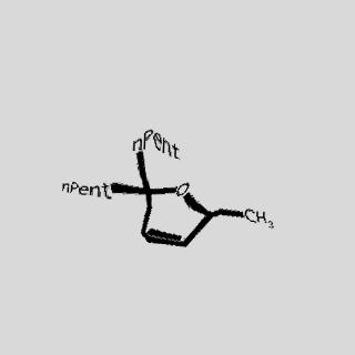 CCCCCC1(CCCCC)C=CC(C)O1